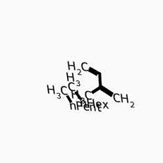 C=CC(=C)C.CCCCCC.CCCCCCC